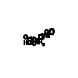 NC(CN(CC=O)C(=O)O)C1CCN(c2nc3ccccc3o2)CC1